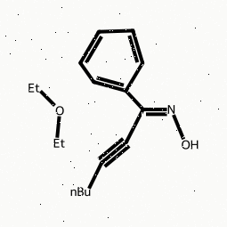 CCCCC#C/C(=N\O)c1ccccc1.CCOCC